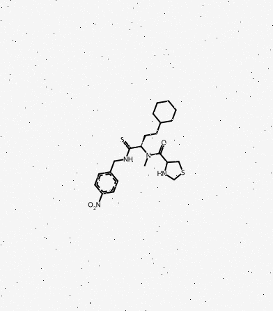 CN(C(=O)C1CSCN1)[C@H](CCC1CCCCC1)C(=S)NCc1ccc([N+](=O)[O-])cc1